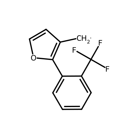 [CH2]c1ccoc1-c1ccccc1C(F)(F)F